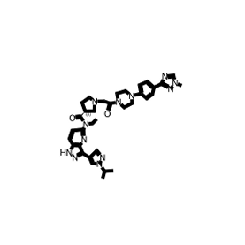 CCN(C(=O)[C@@H]1CCN(CC(=O)N2CCN(c3ccc(-c4ncn(C)n4)cc3)CC2)C1)c1ccc2[nH]nc(-c3cnn(C(C)C)c3)c2n1